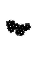 c1ccc2c(c1)Sc1ccccc1C21c2ccccc2-c2ccc(N(c3ccc4c(c3)oc3ccccc34)c3cccc4ccccc34)c3cccc1c23